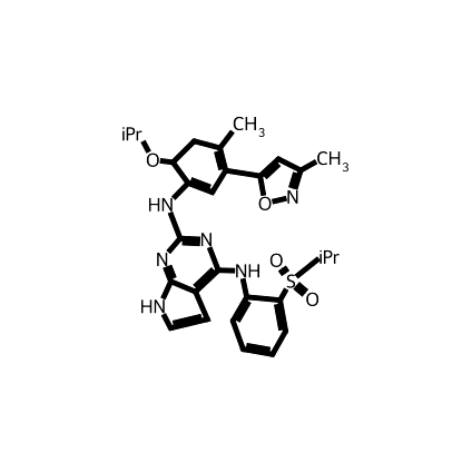 CC1=C(c2cc(C)no2)C=C(Nc2nc(Nc3ccccc3S(=O)(=O)C(C)C)c3cc[nH]c3n2)C(OC(C)C)C1